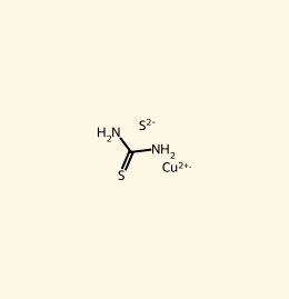 NC(N)=S.[Cu+2].[S-2]